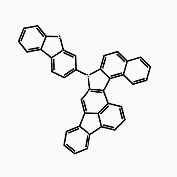 c1ccc2c(c1)-c1cccc3c1c-2cc1c3c2c3ccccc3ccc2n1-c1ccc2c(c1)sc1ccccc12